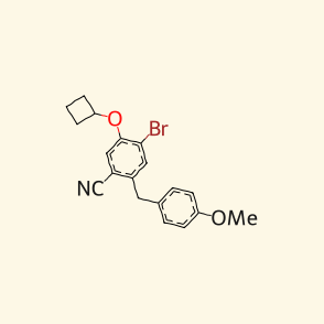 COc1ccc(Cc2cc(Br)c(OC3CCC3)cc2C#N)cc1